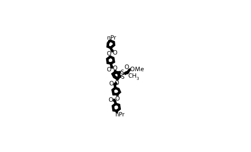 CCCC1CCC(C(=O)OC2CCC(C(=O)Oc3ccc(OC(=O)C4CCC(OC(=O)C5CCC(CCC)CC5)CC4)c4c3SC(=C(C)C(=O)OC)S4)CC2)CC1